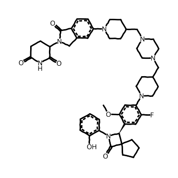 COc1cc(N2CCC(CN3CCN(CC4CCN(c5ccc6c(c5)CN(C5CCC(=O)NC5=O)C6=O)CC4)CC3)CC2)c(F)cc1[C@@H]1N(c2ccccc2O)C(=O)C12CCCC2